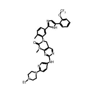 CCN1CCN(c2ccc(Nc3ncc4c(n3)N(C)C(=O)N(c3cc(-c5ncc(-c6ccccc6OC(F)(F)F)[nH]5)ccc3C)C4)cn2)CC1